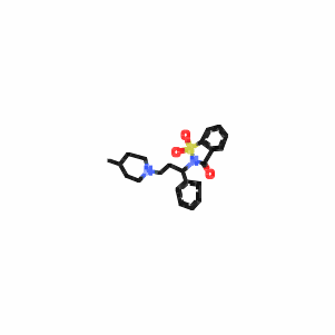 CC1CCN(CCC(c2ccccc2)N2C(=O)c3ccccc3S2(=O)=O)CC1